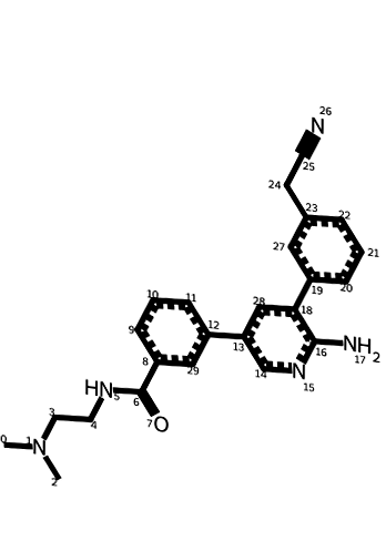 CN(C)CCNC(=O)c1cccc(-c2cnc(N)c(-c3cccc(CC#N)c3)c2)c1